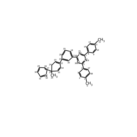 Cc1ccc(-c2nc(-c3ccc(C)cc3)nc(-c3cccc(C4=CCC(C)(c5ccccn5)C=C4)c3)n2)cc1